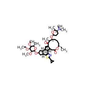 CCO[C@@H]1[C@@H](OC)[C@H](C)O[C@@H](O[C@H]2C[C@H]3[C@@H]4C=C5C(=O)[C@H](C)[C@@H](O[C@H]6CC[C@H](N(C)C)[C@@H](C)O6)CCC[C@H](CC)OC(=O)C[C@H]5[C@@H]4c4nc(C5CC5)sc4[C@@H]3C2)[C@@H]1OC